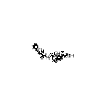 CN1C(=O)[C@@H](CCCCC(=O)c2cc(Cc3ccccc3)on2)COc2ccc(C(=O)CCO)cc21